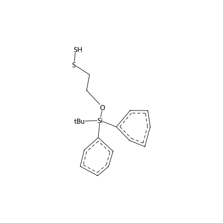 CC(C)(C)[Si](OCCSS)(c1ccccc1)c1ccccc1